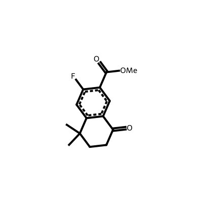 COC(=O)c1cc2c(cc1F)C(C)(C)CCC2=O